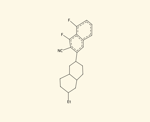 CCC1CCC2CC(c3cc4cccc(F)c4c(F)c3C#N)CCC2C1